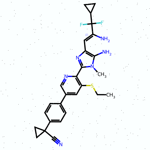 CCSc1cc(-c2ccc(C3(C#N)CC3)cc2)cnc1-c1nc(/C=C(\N)C(F)(F)C2CC2)c(N)n1C